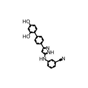 N#Cc1cccc(Nc2cc(-c3ccc(-c4ccc(O)cc4O)cc3)n[nH]2)c1